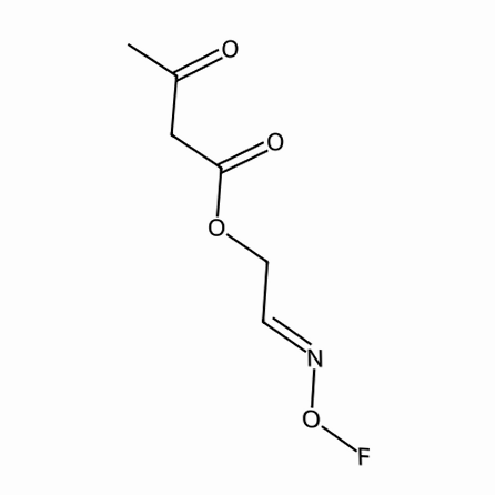 CC(=O)CC(=O)OCC=NOF